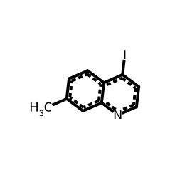 Cc1ccc2c(I)ccnc2c1